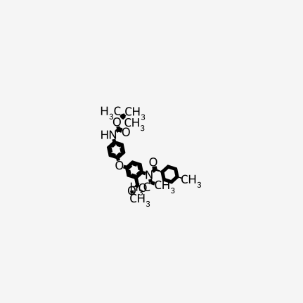 COC(=O)c1cc(Oc2ccc(NC(=O)OC(C)(C)C)cc2)ccc1N(C(=O)[C@H]1CC[C@H](C)CC1)C(C)C